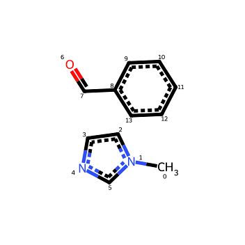 Cn1ccnc1.O=Cc1ccccc1